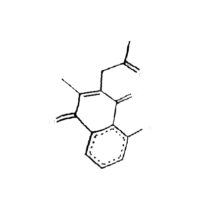 CC(=O)CC1=C(C)C(=O)c2cccc(O)c2C1=O